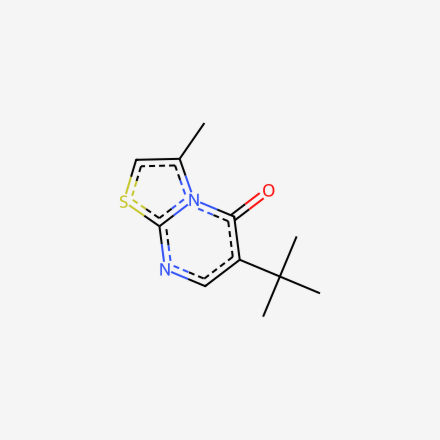 Cc1csc2ncc(C(C)(C)C)c(=O)n12